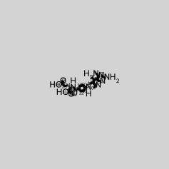 Cc1nc2nc(N)nc(N)c2c(C)c1CNc1ccc(C(=O)N[C@@H](CCC(=O)O)C(=O)O)cc1